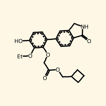 CCOc1c(O)ccc(-c2ccc3c(c2)CNC3=O)c1OCC(=O)OCC1CCC1